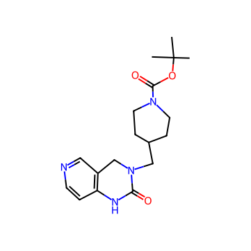 CC(C)(C)OC(=O)N1CCC(CN2Cc3cnccc3NC2=O)CC1